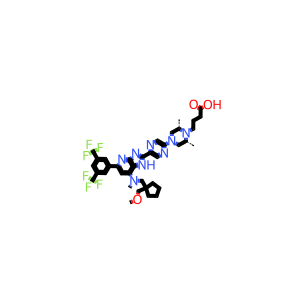 COCC1(CN(C)c2cc(-c3cc(C(F)(F)F)cc(C(F)(F)F)c3)nc3nc(-c4cnc(N5C[C@@H](C)N(CCCC(=O)O)[C@@H](C)C5)cn4)[nH]c23)CCCC1